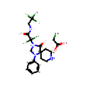 O=C(NCC(F)(F)F)C(F)(F)N1CN(c2ccccc2)C2(CCNCC2)C1=O.O=C(O)CF